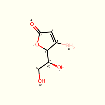 BC1=CC(=O)OC1[C@@H](O)CO